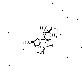 C=C1C[C@@H](C(N)O)N(C(=O)OC(C)(C)C)C1